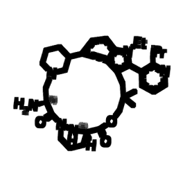 CCn1c(-c2cccnc2C(C)C)c2c3cc(ccc31)C1CCCN(C1)C[C@H](N)C(=O)N1CCC[C@H](N1)C(=O)OCC(C)(C)C2